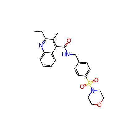 CCc1nc2ccccc2c(C(=O)NCc2ccc(S(=O)(=O)N3CCOCC3)cc2)c1C